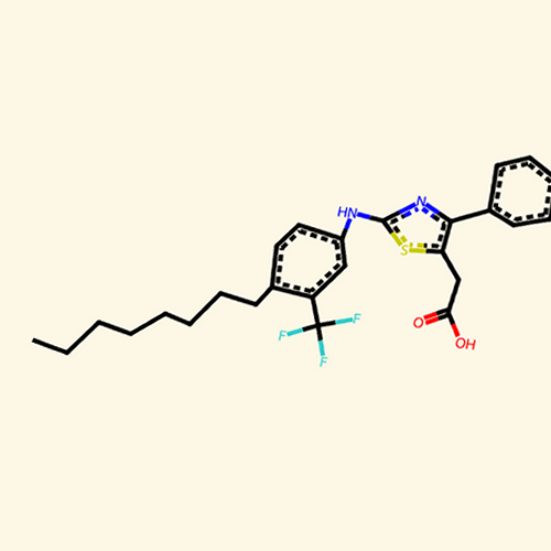 CCCCCCCCc1ccc(Nc2nc(-c3ccccc3)c(CC(=O)O)s2)cc1C(F)(F)F